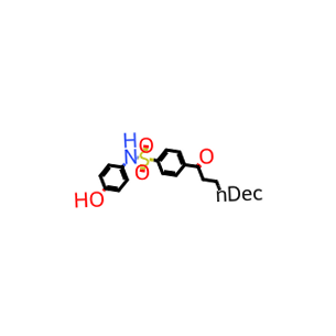 CCCCCCCCCCCCC(=O)c1ccc(S(=O)(=O)Nc2ccc(O)cc2)cc1